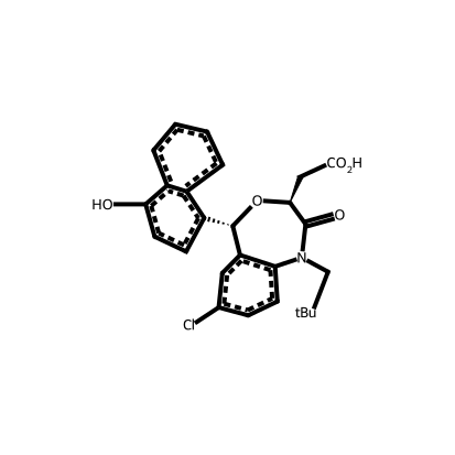 CC(C)(C)CN1C(=O)[C@H](CC(=O)O)O[C@@H](c2ccc(O)c3ccccc23)c2cc(Cl)ccc21